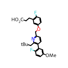 COc1ccc(F)c(-c2ccc(COc3ccc(F)c(CCC(=O)O)c3)nc2CC(C)(C)C)c1